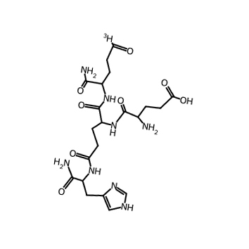 [3H]C(=O)CCC(NC(=O)C(CCC(=O)NC(Cc1c[nH]cn1)C(N)=O)NC(=O)C(N)CCC(=O)O)C(N)=O